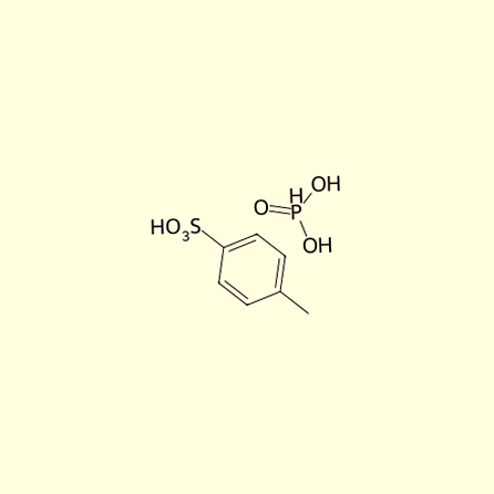 Cc1ccc(S(=O)(=O)O)cc1.O=[PH](O)O